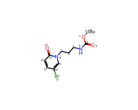 CC(C)(C)OC(=O)NCCCn1cc(Br)ccc1=O